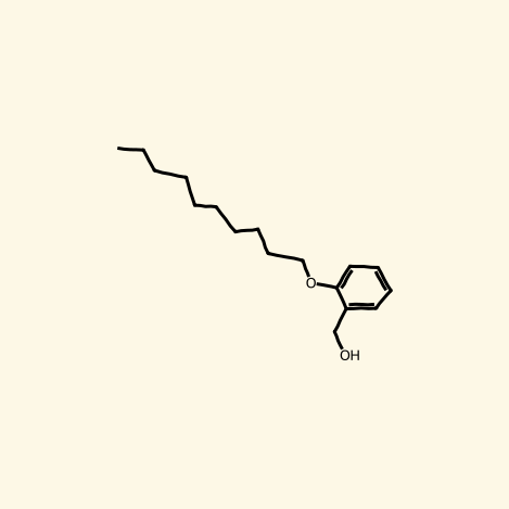 CCCCCCCCCCOc1ccccc1CO